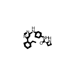 CCc1ccccc1-c1cc(Nc2ccc(NC(=O)[C@@H]3CCN3)cc2)ncn1